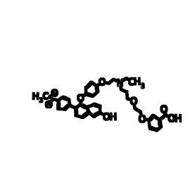 CCN(CCCOCCOc1cccc(C(=O)O)c1)CCOc1ccc(Oc2c(-c3ccc(S(C)(=O)=O)cc3)ccc3cc(O)ccc23)cc1